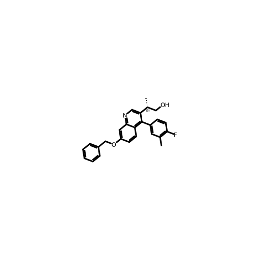 Cc1cc(-c2c([C@H](C)CO)cnc3cc(OCc4ccccc4)ccc23)ccc1F